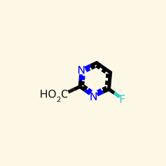 O=C(O)c1nccc(F)n1